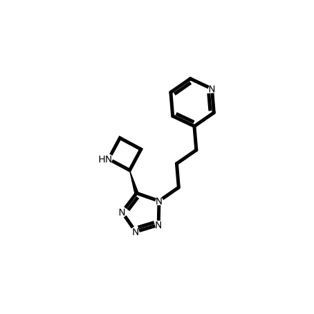 c1cncc(CCCn2nnnc2[C@@H]2CCN2)c1